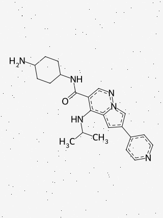 CC(C)Nc1c(C(=O)NC2CCC(N)CC2)cnn2cc(-c3ccncc3)cc12